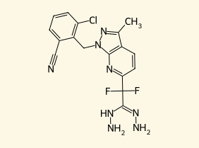 Cc1nn(Cc2c(Cl)cccc2C#N)c2nc(C(F)(F)/C(=N/N)NN)ccc12